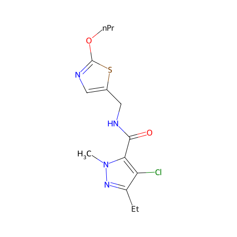 CCCOc1ncc(CNC(=O)c2c(Cl)c(CC)nn2C)s1